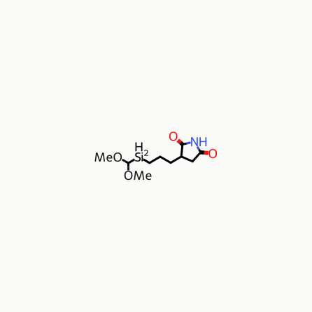 COC(OC)[SiH2]CCCC1CC(=O)NC1=O